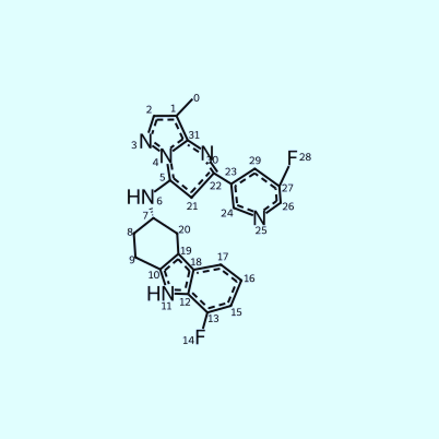 Cc1cnn2c(N[C@H]3CCc4[nH]c5c(F)cccc5c4C3)cc(-c3cncc(F)c3)nc12